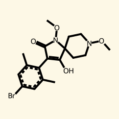 CON1CCC2(CC1)C(O)=C(c1c(C)cc(Br)cc1C)C(=O)N2OC